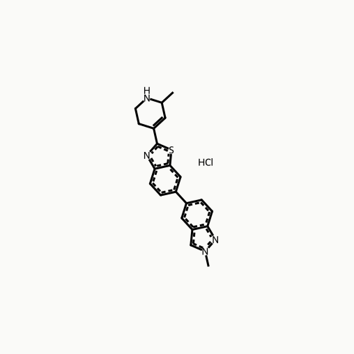 CC1C=C(c2nc3ccc(-c4ccc5nn(C)cc5c4)cc3s2)CCN1.Cl